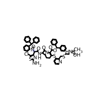 CB(O)NCCSCc1ncccc1SC1=C(C(=O)OC(c2ccccc2)c2ccccc2)N2C(=O)[C@@H](NC(=O)/C(=N\OC(c3ccccc3)(c3ccccc3)c3ccccc3)c3nc(N)sc3Cl)C2CC1